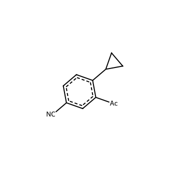 CC(=O)c1cc(C#N)ccc1C1CC1